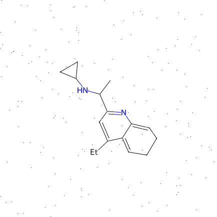 CCc1cc(C(C)NC2CC2)nc2c1=CCCC=2